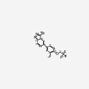 Fc1cc(-c2cn3c(Br)nnc3cn2)cnc1OCC(F)(F)F